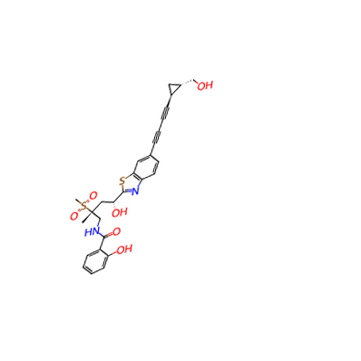 C[C@](CNC(=O)c1ccccc1O)(C[C@@H](O)c1nc2ccc(C#CC#C[C@H]3C[C@@H]3CO)cc2s1)S(C)(=O)=O